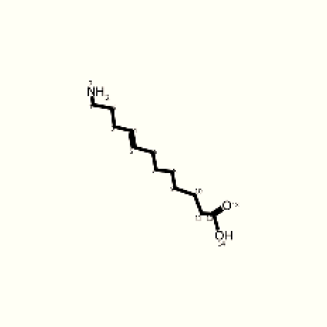 NCCCC=CCCCCCCC(=O)O